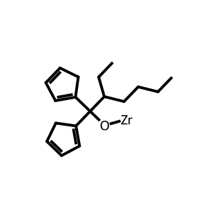 CCCCC(CC)C([O][Zr])(C1=CC=CC1)C1=CC=CC1